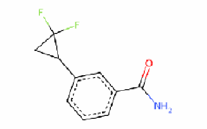 NC(=O)c1cccc(C2CC2(F)F)c1